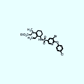 C=CC1=C(N(C)CC(=O)OCC)CCCC1NS(=O)(=O)c1cnc(Oc2ccc(Cl)cc2)c(Br)c1